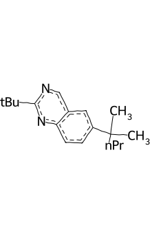 CCCC(C)(C)c1ccc2nc(C(C)(C)C)ncc2c1